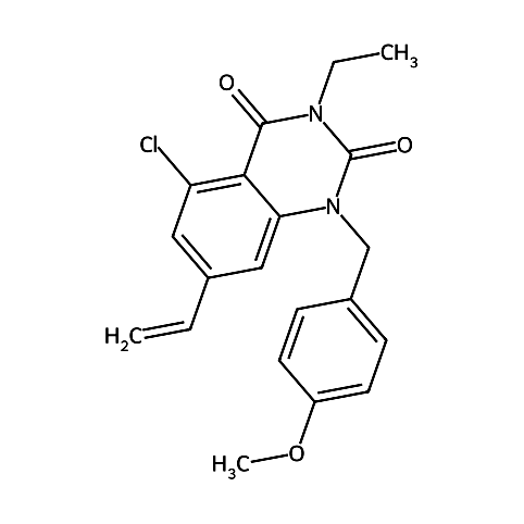 C=Cc1cc(Cl)c2c(=O)n(CC)c(=O)n(Cc3ccc(OC)cc3)c2c1